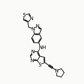 C(#CN1CCCC1)c1cc2c(Nc3ccc4c(cnn4Cc4cscn4)c3)ncnc2s1